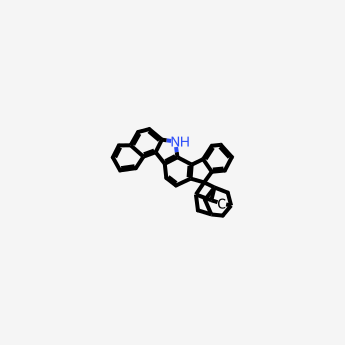 c1ccc2c(c1)-c1c(ccc3c1[nH]c1ccc4ccccc4c13)C21C2CC3CC4CC2C1(C4)C3